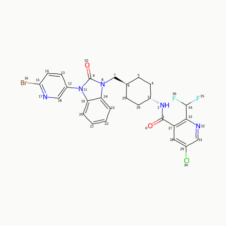 O=C(N[C@H]1CC[C@H](Cn2c(=O)n(-c3ccc(Br)nc3)c3ccccc32)CC1)c1cc(Cl)cnc1C(F)F